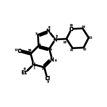 CCn1c(Cl)nc2c(cnn2C2CCCCO2)c1=O